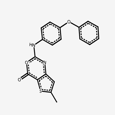 Cc1cc2nc(Nc3ccc(Oc4ccccc4)cc3)oc(=O)c2s1